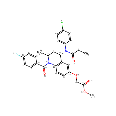 CCC(=O)N(c1ccc(Cl)cc1)[C@H]1CC(C)N(C(=O)c2ccc(F)cc2)c2ccc(OCC(=O)OC)cc21